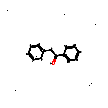 O=C(CC1=C=CC=CC1)c1ccccc1